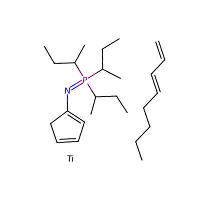 C=CC=CCCCC.CCC(C)P(=NC1=CC=CC1)(C(C)CC)C(C)CC.[Ti]